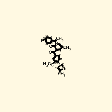 COc1cc(C(=O)c2cc(C)cn(C(C)c3ccc(F)cc3)c2=O)ccc1-n1cnc(C)c1